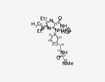 CCc1nc(C(N)=O)c(Nc2cccc(CCNC(=O)CNC)c2)nc1N(C)CC.Cl.Cl